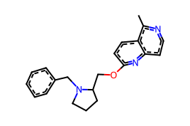 Cc1nccc2nc(OCC3CCCN3Cc3ccccc3)ccc12